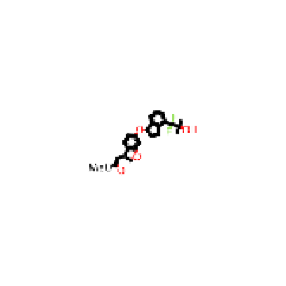 COC(=O)CC1COc2cc(O[C@@H]3CCc4c3cccc4C(F)(F)C(C)(C)O)ccc21